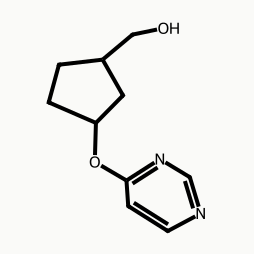 OCC1CCC(Oc2ccncn2)C1